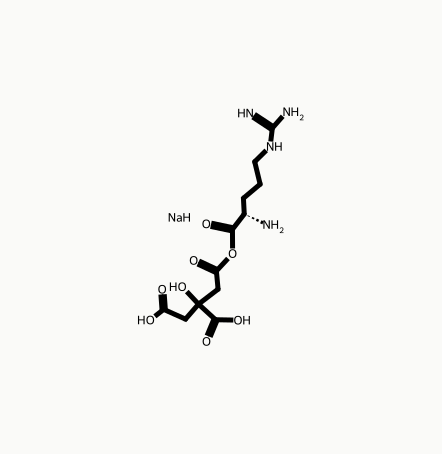 N=C(N)NCCC[C@H](N)C(=O)OC(=O)CC(O)(CC(=O)O)C(=O)O.[NaH]